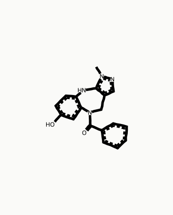 Cn1ncc2c1Nc1ccc(O)cc1N(C(=O)c1ccccc1)C2